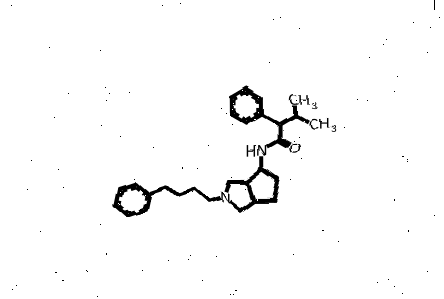 CC(C)C(C(=O)NC1CCC2CN(CCCCc3ccccc3)CC21)c1ccccc1